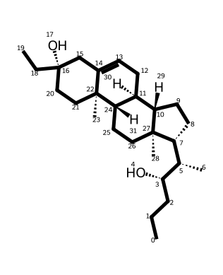 CCC[C@H](O)[C@@H](C)[C@H]1CC[C@H]2[C@@H]3CC=C4C[C@](O)(CC)CC[C@]4(C)[C@H]3CC[C@]12C